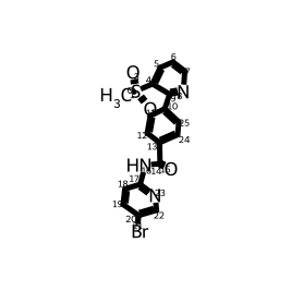 CS(=O)(=O)c1cccnc1-c1ccc(C(=O)Nc2ccc(Br)cn2)cc1